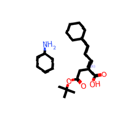 CC(C)(C)OC(=O)C/C(=C\CCC1CCCCC1)C(=O)O.NC1CCCCC1